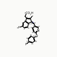 CC1=C(CC(=O)O)c2cc(F)ccc2/C1=C\c1ccc(Oc2ccc(F)cc2)nc1